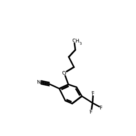 CCCCOc1cc(C(F)(F)F)ccc1C#N